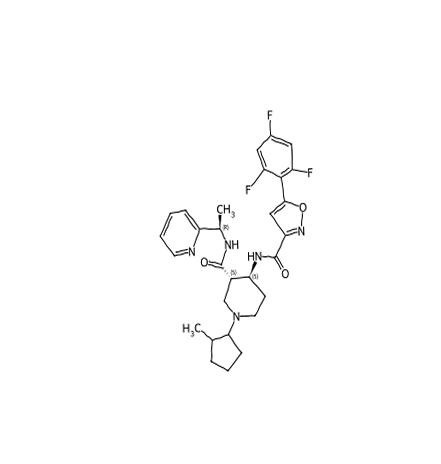 CC1CCCC1N1CC[C@H](NC(=O)c2cc(-c3c(F)cc(F)cc3F)on2)[C@@H](C(=O)N[C@H](C)c2ccccn2)C1